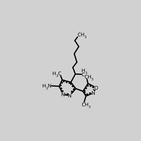 CCCCCCC(C)c1c(-c2c(C)noc2C)nnc(N)c1C